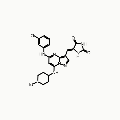 CCN1CCC(Nc2cc(Nc3cccc(Cl)c3)nc3c(/C=C4\NC(=O)NC4=O)cnn23)CC1